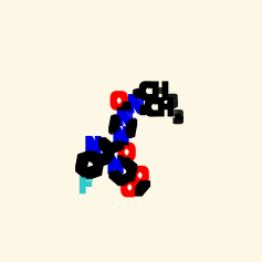 CCN(CC)C(=O)N1CCN(C(=O)c2cnc3ccc(F)cc3c2N2CCC3(CC2)OCCO3)CC1